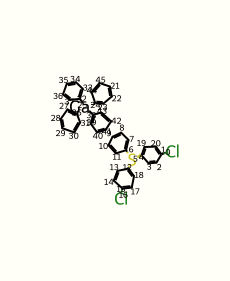 Clc1ccc([S+](c2ccccc2)c2ccc(Cl)cc2)cc1.c1cc[c]([Ga-]([c]2ccccc2)([c]2ccccc2)[c]2ccccc2)cc1